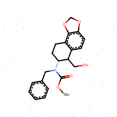 CC(C)(C)OC(=O)N(Cc1ccccc1)[C@@H]1CCc2c(ccc3c2OCO3)C1CO